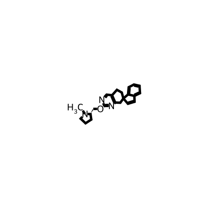 CN1CCC[C@H]1COc1ncc2c(n1)CC1(C=Cc3ccccc31)CC2